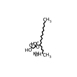 CCCCCCCCCCCCC(C)(CCCCC)OC(=O)CC(=O)O.[KH].[LiH]